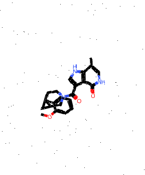 COc1ccccc1C12CCN(C(=O)c3c[nH]c4c(C)c[nH]c(=O)c34)CC1C2